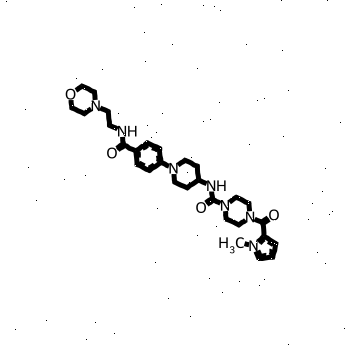 Cn1cccc1C(=O)N1CCN(C(=O)NC2CCN(c3ccc(C(=O)NCCN4CCOCC4)cc3)CC2)CC1